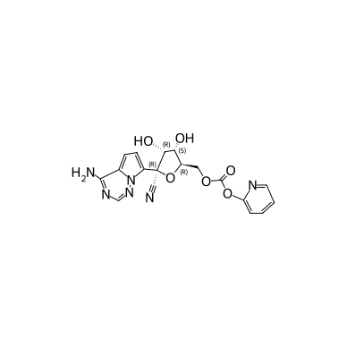 N#C[C@@]1(c2ccc3c(N)ncnn23)O[C@H](COC(=O)Oc2ccccn2)[C@@H](O)[C@H]1O